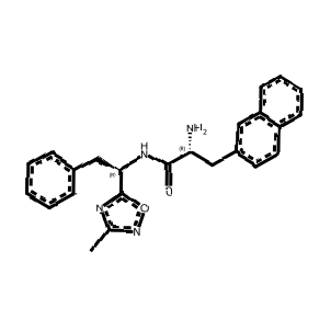 Cc1noc([C@@H](Cc2ccccc2)NC(=O)[C@H](N)Cc2ccc3ccccc3c2)n1